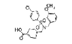 COc1cccc(CN(Cc2ccc(C(=O)O)cc2)S(=O)(=O)c2ccc(Cl)cc2)c1